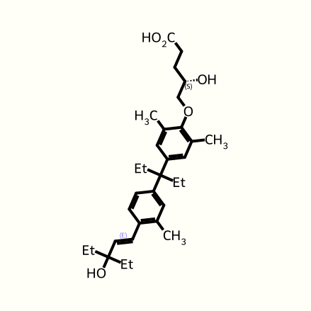 CCC(O)(/C=C/c1ccc(C(CC)(CC)c2cc(C)c(OC[C@@H](O)CCC(=O)O)c(C)c2)cc1C)CC